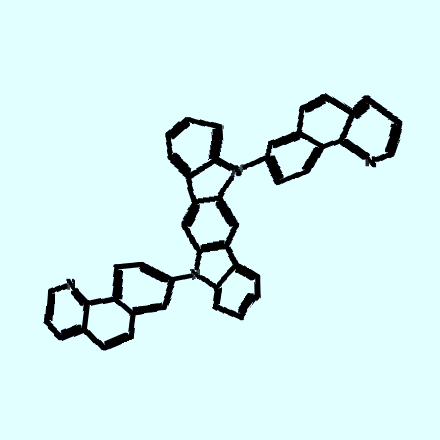 c1cnc2c(c1)ccc1cc(-n3c4ccccc4c4cc5c(cc43)c3ccccc3n5-c3ccc4c(ccc5cccnc54)c3)ccc12